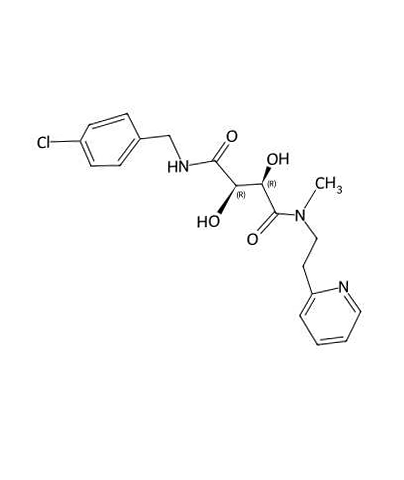 CN(CCc1ccccn1)C(=O)[C@H](O)[C@@H](O)C(=O)NCc1ccc(Cl)cc1